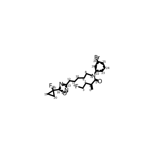 C=C(CCF)C(=O)N(CCCCCc1noc(C2(F)CC2)n1)c1cccc(Br)c1